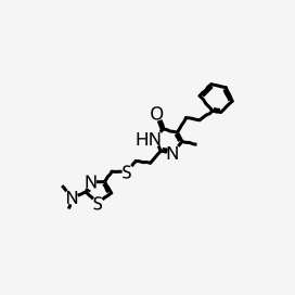 Cc1nc(CCSCc2csc(N(C)C)n2)[nH]c(=O)c1CCc1ccccc1